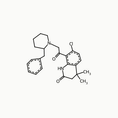 CC1(C)CC(=O)Nc2c1ccc(Cl)c2C(=O)CN1CCCCC1Cc1ccccc1